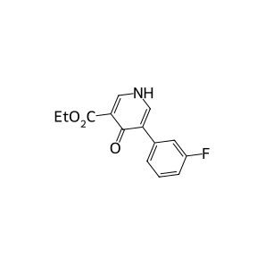 CCOC(=O)c1c[nH]cc(-c2cccc(F)c2)c1=O